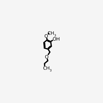 CCCOCc1ccc(OC)c(O)c1